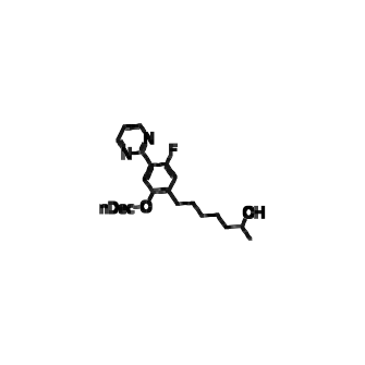 CCCCCCCCCCOc1cc(-c2ncccn2)c(F)cc1CCCCCC(C)O